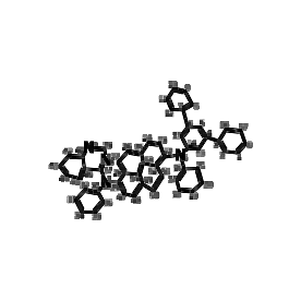 c1ccc(-c2cc(-c3ccccc3)cc(N(c3ccccc3)c3ccc4ccc5c(N(c6ccccc6)c6ncnc7ccccc67)ccc6ccc3c4c65)c2)cc1